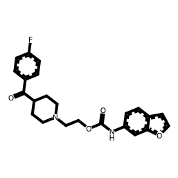 O=C(Nc1ccc2ccoc2c1)OCCN1CCC(C(=O)c2ccc(F)cc2)CC1